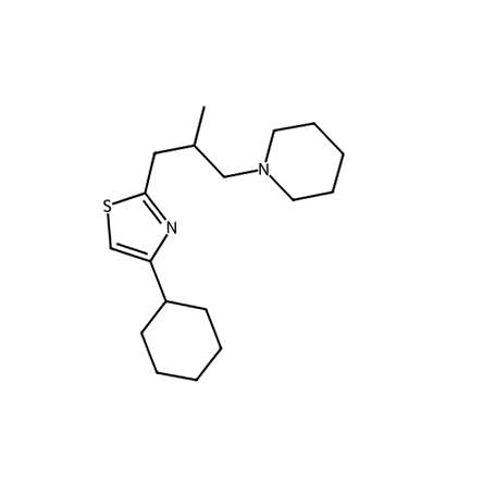 CC(Cc1nc(C2CCCCC2)cs1)CN1CCCCC1